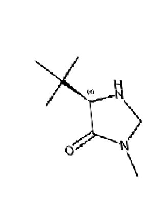 CN1CN[C@H](C(C)(C)C)C1=O